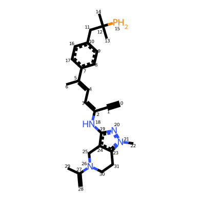 C#C/C(=C\C=C(/C)c1ccc(CC(C)(C)P)cc1)Nc1nn(C)c2c1CN(C(=C)C)CC2